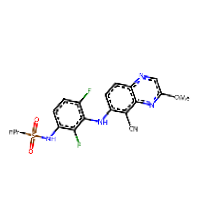 CCCS(=O)(=O)Nc1ccc(F)c(Nc2ccc3ncc(OC)nc3c2C#N)c1F